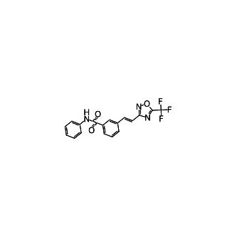 O=S(=O)(Nc1ccccc1)c1cccc(/C=C/c2noc(C(F)(F)F)n2)c1